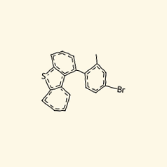 Cc1cc(Br)ccc1-c1cccc2sc3ccccc3c12